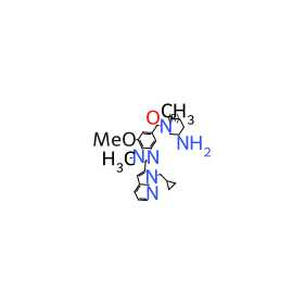 COc1cc(C(=O)N2CC(N)CC[C@H]2C)cc2nc(-c3cc4cccnc4n3CC3CC3)n(C)c12